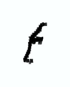 CCCCCCCCCCCCCCCCCCCCCCCCC(CCCCCCCCCCCCCCCCCC(=O)O)C(=O)OCC(O)CO